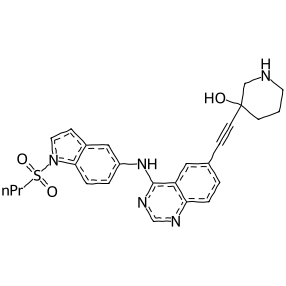 CCCS(=O)(=O)n1ccc2cc(Nc3ncnc4ccc(C#CC5(O)CCCNC5)cc34)ccc21